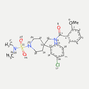 COc1ccccc1C(=O)NCC1(c2cccc(Cl)c2)CCN(S(=O)(=O)N(C)C)CC1